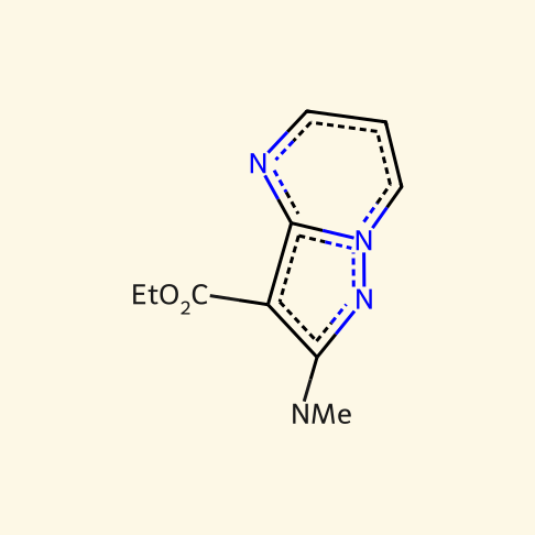 CCOC(=O)c1c(NC)nn2cccnc12